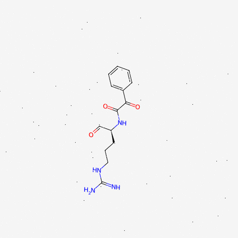 N=C(N)NCCC[C@@H]([C]=O)NC(=O)C(=O)c1ccccc1